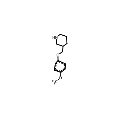 FC(F)(F)Oc1ccc(OCC2CCCNC2)cc1